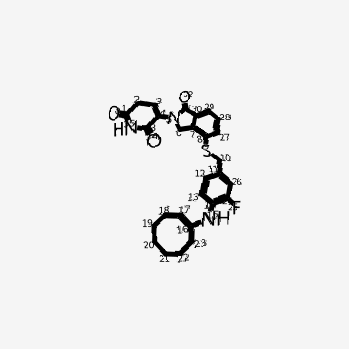 O=C1CCC(N2Cc3c(SCc4ccc(NC5CCCCCCC5)c(F)c4)cccc3C2=O)C(=O)N1